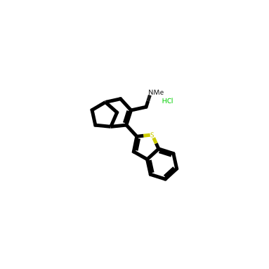 CNCC1=C(c2cc3ccccc3s2)C2CCC(C1)C2.Cl